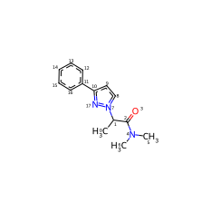 CC(C(=O)N(C)C)n1ccc(-c2ccccc2)n1